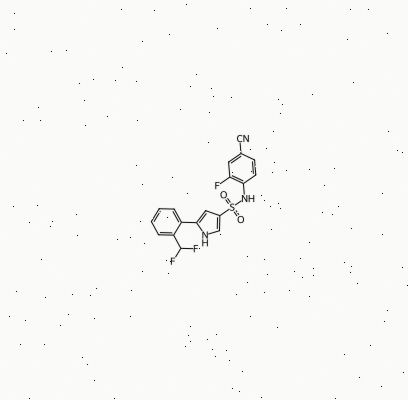 N#Cc1ccc(NS(=O)(=O)c2c[nH]c(-c3ccccc3C(F)F)c2)c(F)c1